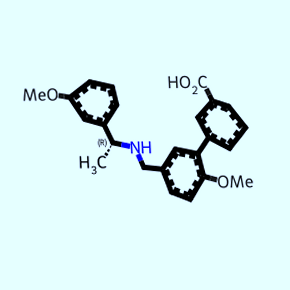 COc1cccc([C@@H](C)NCc2ccc(OC)c(-c3cccc(C(=O)O)c3)c2)c1